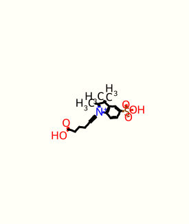 CC1=[N+](C#CCCCC(=O)O)c2ccc(S(=O)(=O)O)cc2C1(C)C